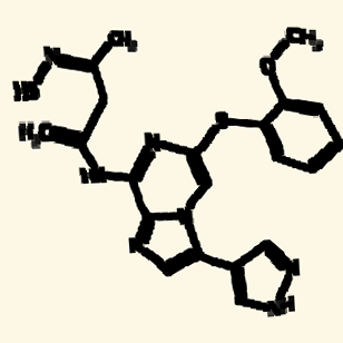 C=C(C/C(C)=N\S)Nc1nc(Sc2ccccc2OC)cn2c(-c3cn[nH]c3)cnc12